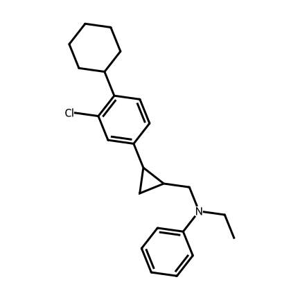 CCN(CC1CC1c1ccc(C2CCCCC2)c(Cl)c1)c1ccccc1